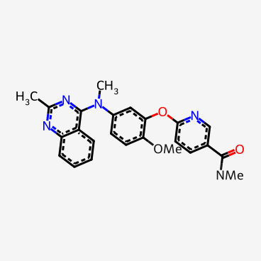 CNC(=O)c1ccc(Oc2cc(N(C)c3nc(C)nc4ccccc34)ccc2OC)nc1